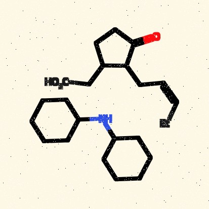 C1CCC(NC2CCCCC2)CC1.CC/C=C\CC1C(=O)CCC1CC(=O)O